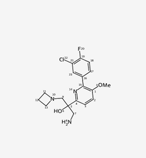 COc1ccc(C(O)(CN)CN2CCC2)nc1-c1ccc(F)c(Cl)c1